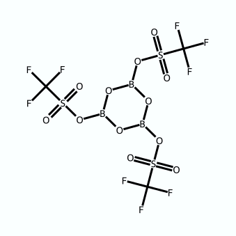 O=S(=O)(OB1OB(OS(=O)(=O)C(F)(F)F)OB(OS(=O)(=O)C(F)(F)F)O1)C(F)(F)F